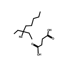 CCCCC[C]([Na])(CC)CC.O=C(O)CCC(=O)O